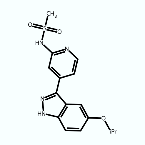 CC(C)Oc1ccc2[nH]nc(-c3ccnc(NS(C)(=O)=O)c3)c2c1